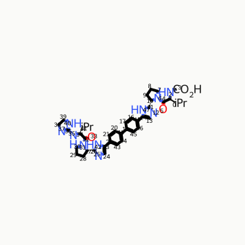 CC(C)[C@H](NC(=O)O)C(=O)N1CCC[C@H]1c1ncc(-c2ccc(-c3ccc(-c4cnc([C@@H]5CCCN5C(=O)[C@H](NC5=NCCN5)C(C)C)[nH]4)cc3)cc2)[nH]1